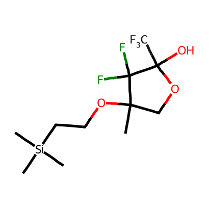 CC1(OCC[Si](C)(C)C)COC(O)(C(F)(F)F)C1(F)F